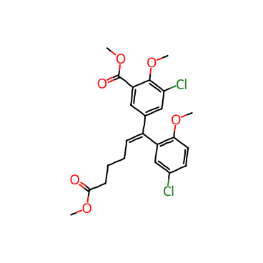 COC(=O)CCC/C=C(/c1cc(Cl)c(OC)c(C(=O)OC)c1)c1cc(Cl)ccc1OC